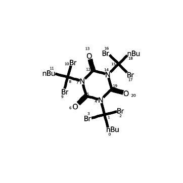 CCCCC(Br)(Br)n1c(=O)n(C(Br)(Br)CCCC)c(=O)n(C(Br)(Br)CCCC)c1=O